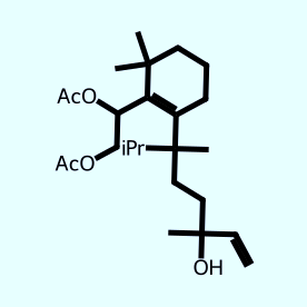 C=CC(C)(O)CCC(C)(C1=C(C(COC(C)=O)OC(C)=O)C(C)(C)CCC1)C(C)C